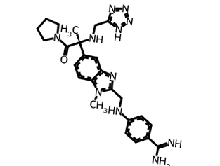 Cn1c(CNc2ccc(C(=N)N)cc2)nc2cc([C@@](C)(NCc3nnn[nH]3)C(=O)N3CCCC3)ccc21